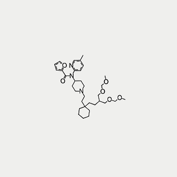 COCOCC(CCC1(CCN2CCC(N(C(=O)c3ccco3)c3ccc(C)cn3)CC2)CCCCC1)COCOC